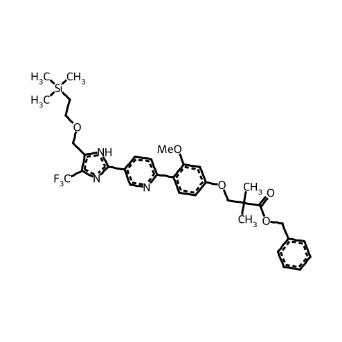 COc1cc(OCC(C)(C)C(=O)OCc2ccccc2)ccc1-c1ccc(-c2nc(C(F)(F)F)c(COCC[Si](C)(C)C)[nH]2)cn1